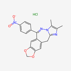 Cc1nc2n(c1C)N=C(c1ccc([N+](=O)[O-])cc1)c1cc3c(cc1C2)OCO3.Cl